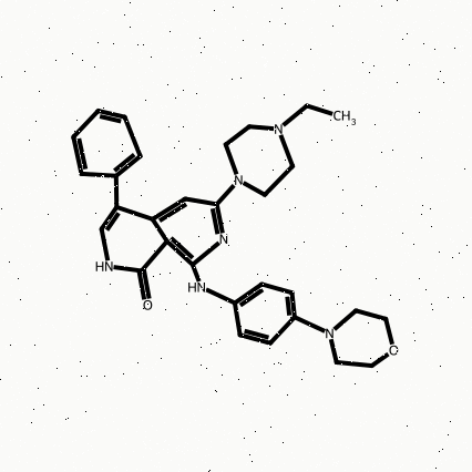 CCN1CCN(c2cc3c(-c4ccccc4)c[nH]c(=O)c3c(Nc3ccc(N4CCOCC4)cc3)n2)CC1